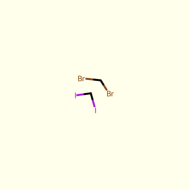 BrCBr.ICI